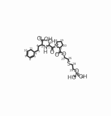 CC(NC(CCC1C=CC=CC1)C(=O)O)C(=O)N1CCCC1C(=O)OCCSCCON(O)O